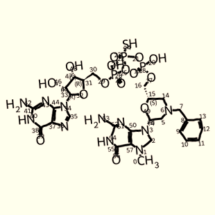 CN1CN([C@H]2CN(Cc3ccccc3)C[C@@H](COP(=O)(O)OP(=O)(S)OP(=O)(O)OC[C@H]3O[C@@H](n4cnc5c(=O)[nH]c(N)nc54)[C@H](O)[C@@H]3O)O2)c2nc(N)[nH]c(=O)c21